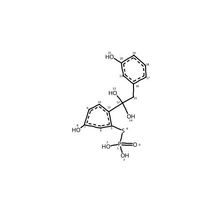 O=P(O)(O)Sc1cc(O)ccc1C(O)(O)Cc1cccc(O)c1